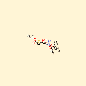 CCOC(=O)c1ccc(CC[C@@H](O)CNC(=O)OC(C)(C)C)s1